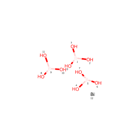 OB(O)O.OB(O)O.OB(O)O.[Bi]